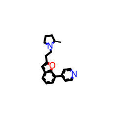 C[C@@H]1CCCN1CCc1cc2cccc(-c3ccncc3)c2o1